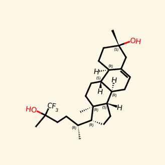 C[C@H](CCC(C)(O)C(F)(F)F)[C@H]1CC[C@H]2[C@@H]3CC=C4C[C@@](C)(O)CC[C@@H]4[C@H]3CC[C@]12C